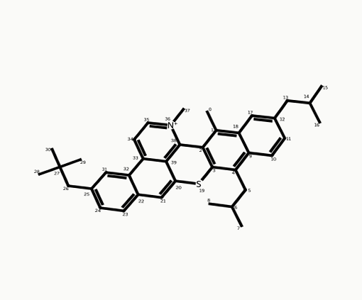 Cc1c2c(c(CC(C)C)c3ccc(CC(C)C)cc13)Sc1cc3ccc(CC(C)(C)C)cc3c3cc[n+](C)c-2c13